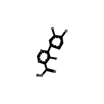 COC(=O)c1ncnc(-c2ccc(Cl)c(Cl)c2)c1F